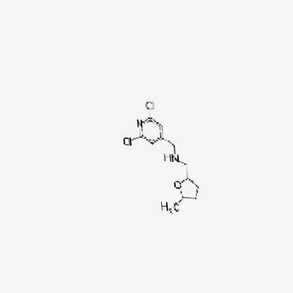 CC1CCC(CNCc2cc(Cl)nc(Cl)c2)O1